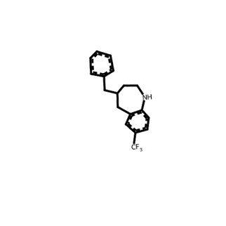 FC(F)(F)c1ccc2c(c1)CC(Cc1ccccc1)CCN2